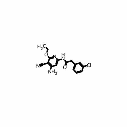 CCOc1nc(NC(=O)Cc2cccc(Cl)c2)cc(N)c1C#N